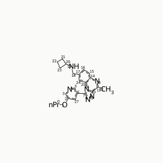 CCCOc1cncc(-c2nnc3c(C)nc4ccc(CNC5CCC5)cc4n23)c1